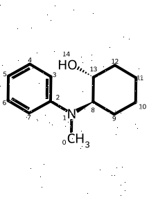 CN(c1ccccc1)[C@@H]1CCCC[C@H]1O